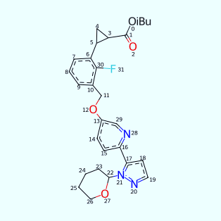 CC(C)COC(=O)C1CC1c1cccc(COc2ccc(-c3ccnn3C3CCCCO3)nc2)c1F